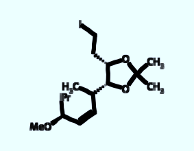 CO[C@H](/C=C\C(C)[C@H]1OC(C)(C)O[C@H]1CCI)C(C)C